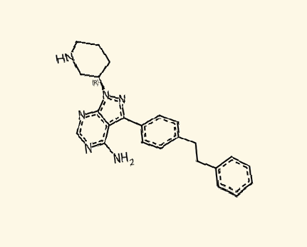 Nc1ncnc2c1c(-c1ccc(CCc3ccccc3)cc1)nn2[C@@H]1CCCNC1